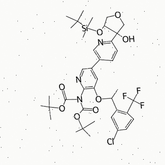 CC(Oc1cc(-c2ccc(C3(O)COCC3O[Si](C)(C)C(C)(C)C)nc2)cnc1N(C(=O)OC(C)(C)C)C(=O)OC(C)(C)C)c1cc(Cl)ccc1C(F)(F)F